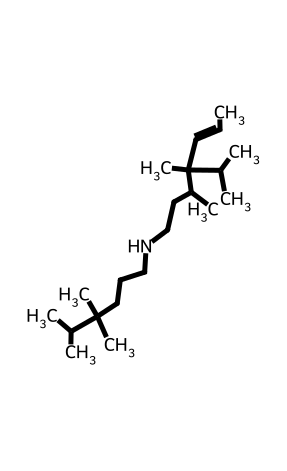 CC=CC(C)(C(C)C)C(C)CCNCCCC(C)(C)C(C)C